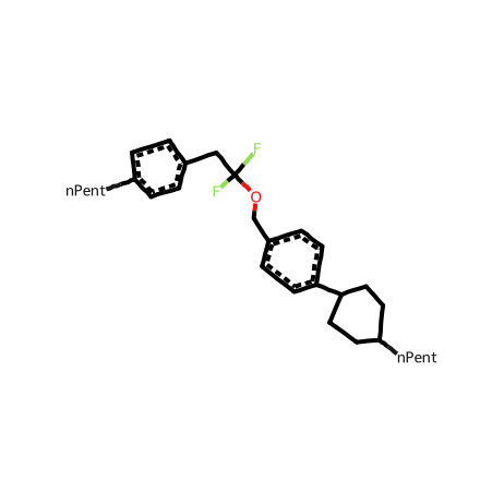 CCCCCc1ccc(CC(F)(F)OCc2ccc(C3CCC(CCCCC)CC3)cc2)cc1